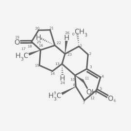 C[C@@H]1CC2=CC(=O)C[C@@H](C)[C@]2(CO)[C@H]2CC[C@]3(C)C(=O)CC[C@H]3[C@H]12